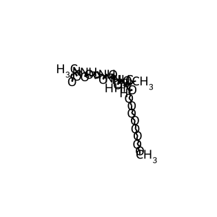 COCCOCCOCCOCCOCCOCCOCCOCCC(=O)NC(CC(C)C)C(=O)NCC(=O)NCC(=O)NCC(=O)Nc1ccc(COC(=O)NCCN(C)C(=O)/C=C\C=O)cc1